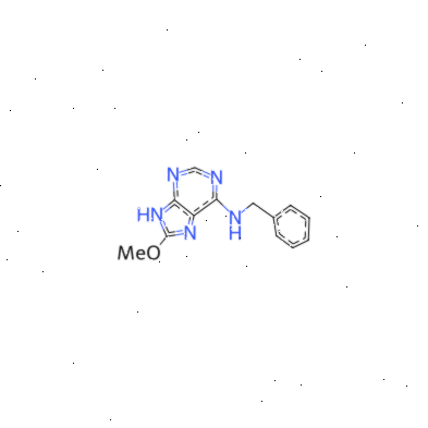 COc1nc2c(NCc3ccccc3)ncnc2[nH]1